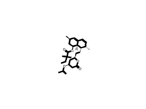 CCC(C)(C)C(=O)O[C@H]1C[C@@H](C)C=C2C=C[C@H](C)[C@H](CC[C@@H]3C[C@@H](OC(C)C)CC(=O)O3)[C@H]21